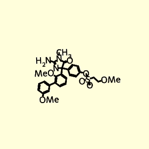 COCCS(=O)(=O)Oc1ccc(C2(c3cccc(-c4cccc(OC)c4)c3OC)N=C(N)N(C)C2=O)cc1